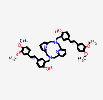 COc1ccc(/C=C/c2ccc(O)c(CN3Cc4cccc(n4)CN(Cc4cc(/C=C/c5ccc(OC)c(OC)c5)ccc4O)Cc4cccc(n4)C3)c2)cc1OC